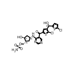 NS(=O)(=O)OC[C@H]1C[C@@H](Nc2ncncc2C(=O)c2cc([C@@H](O)c3ccc(Cl)s3)c(Cl)s2)C[C@@H]1O